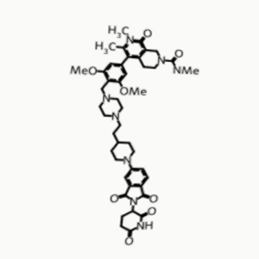 CNC(=O)N1CCc2c(-c3cc(OC)c(CN4CCN(CCC5CCN(c6ccc7c(c6)C(=O)N(C6CCC(=O)NC6=O)C7=O)CC5)CC4)c(OC)c3)c(C)n(C)c(=O)c2C1